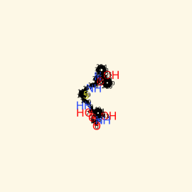 O=C1COc2c(C(O)CNCCc3ccc(CNCCc4cnc([C@](O)(c5ccccc5)C5CCCCC5)o4)s3)ccc(O)c2N1